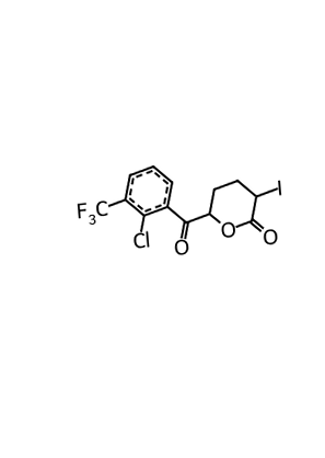 O=C1OC(C(=O)c2cccc(C(F)(F)F)c2Cl)CCC1I